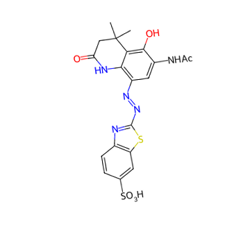 CC(=O)Nc1cc(N=Nc2nc3ccc(S(=O)(=O)O)cc3s2)c2c(c1O)C(C)(C)CC(=O)N2